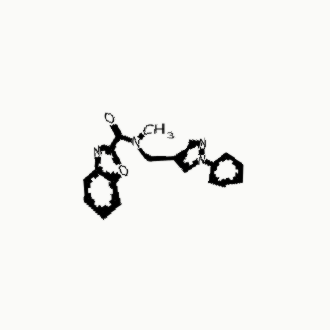 CN(Cc1cnn(-c2ccccc2)c1)C(=O)c1nc2ccccc2o1